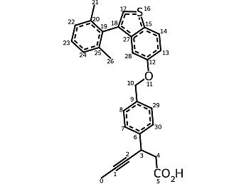 CC#CC(CC(=O)O)c1ccc(COc2ccc3scc(-c4c(C)cccc4C)c3c2)cc1